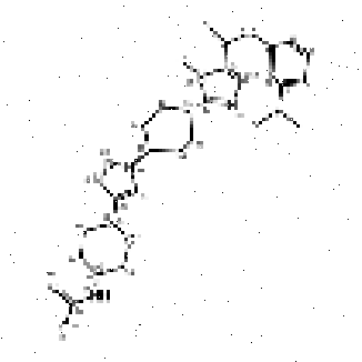 CC(C)c1cccc(OC(C)c2nnc([C@H]3CC[C@H](n4cc([C@@H]5CC[C@@H](NC(=O)O)CO5)nn4)CC3)n2C)c1